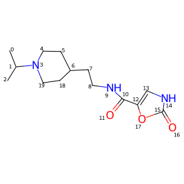 CC(C)N1CCC(CCNC(=O)c2c[nH]c(=O)o2)CC1